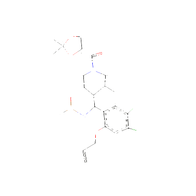 C=CCOc1cc(Cl)c(Cl)cc1C(N[S+]([O-])C(C)(C)C)C1CCN(C(=O)[C@H]2COC(C)(C)O2)CC1C